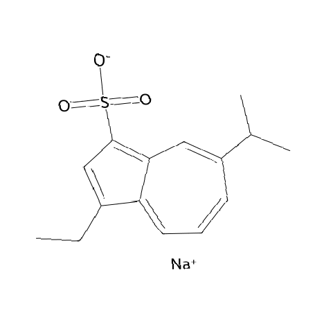 CCc1cc(S(=O)(=O)[O-])c2cc(C(C)C)cccc1-2.[Na+]